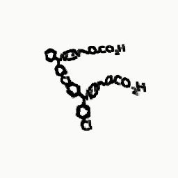 O=C(O)COCCN1CCN([C@H](c2ccccc2)c2ccc(Cl)cc2)CC1.O=C(O)COCCN1CCN([C@H](c2ccccc2)c2ccc(Cl)cc2)CC1